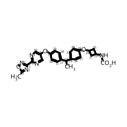 Cc1nc(-c2ncc(Oc3ccc(C(C)c4ccc(OC5CC(NC(=O)O)C5)cc4)cc3)cn2)no1